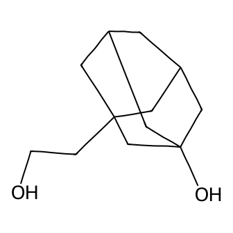 OCCC12CC3CC(CC(O)(C3)C1)C2